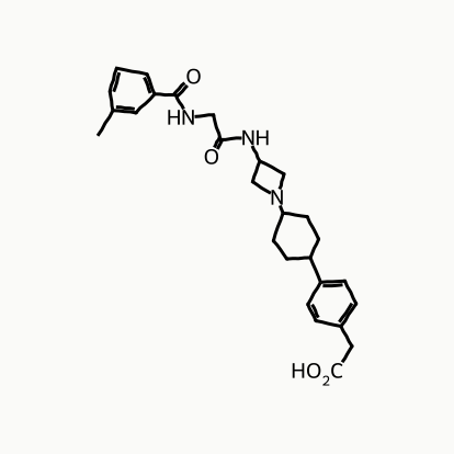 Cc1cccc(C(=O)NCC(=O)NC2CN(C3CCC(c4ccc(CC(=O)O)cc4)CC3)C2)c1